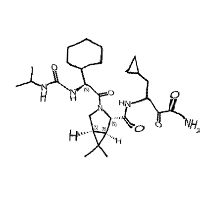 CC(C)NC(=O)N[C@H](C(=O)N1C[C@H]2[C@@H]([C@H]1C(=O)NC(CC1CC1)C(=O)C(N)=O)C2(C)C)C1CCCCC1